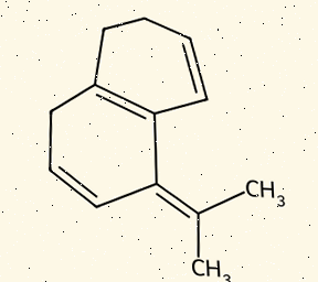 CC(C)=C1C=CCC2=C1C=CCC2